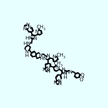 Cc1cccc(-c2nc(CNC3CCNC(c4ccc5c(c4)CN(Cc4nc(-c6cccc(C)n6)c(-c6cc(-c7ccc(-c8nc(CNCc9ccc%10c(c9)OCO%10)[nH]c8-c8ccc9ncnn9c8)nc7C)n7ncnc7c6)[nH]4)CC5)C3)[nH]c2-c2ccn3ncnc3c2)n1